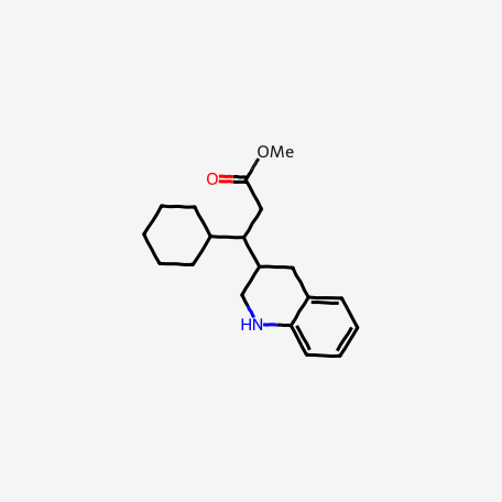 COC(=O)CC(C1CCCCC1)C1CNc2ccccc2C1